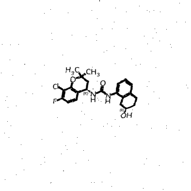 CC1(C)C[C@@H](NC(=O)Nc2cccc3c2C[C@H](O)CC3)c2ccc(F)c(Cl)c2O1